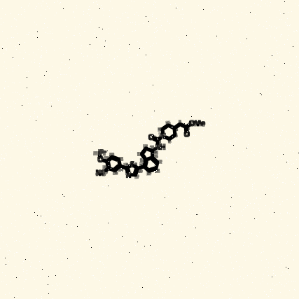 COC(=O)CC1CCN(C(=O)N[C@@H]2CCc3c(-c4cnc(-c5ccc(OC(C)C)c(C#N)c5)s4)cccc32)CC1